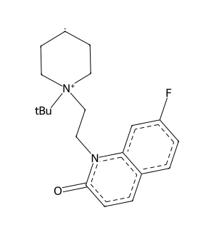 CC(C)(C)[N+]1(CCn2c(=O)ccc3ccc(F)cc32)CC[CH]CC1